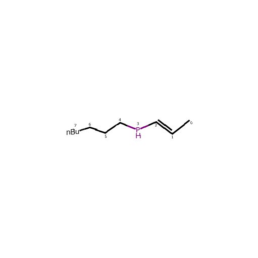 CC=CPCCCCCCC